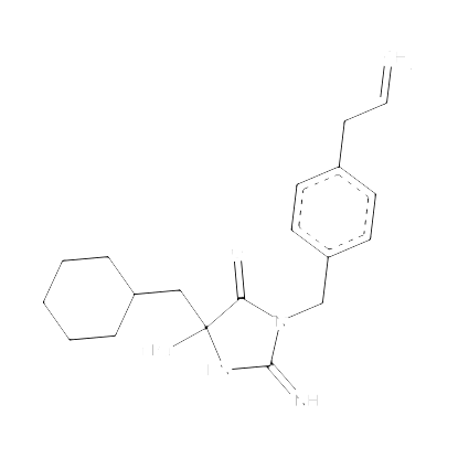 C=CCc1ccc(CN2C(=N)NC(CCCC)(CC3CCCCC3)C2=O)cc1